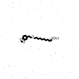 CCCCCCCC/C=C\CCCCCCCCOCCc1ccc2c(c1)OCO2